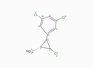 O=C(O)[C@H]1C(Cl)C1c1cc(Cl)cc(Cl)c1